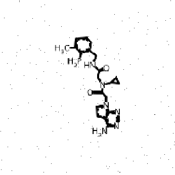 Cc1cccc(CNC(=O)CN(C(=O)Cn2ccc3c(N)ncnc32)C2CC2)c1P